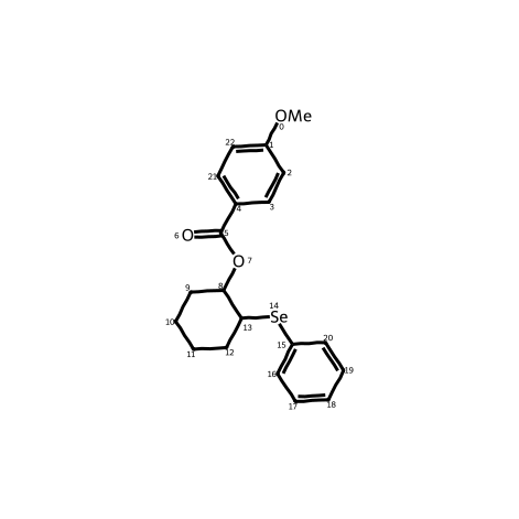 COc1ccc(C(=O)OC2CCCCC2[Se]c2ccccc2)cc1